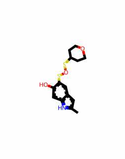 Cc1cc2cc(SOSC3CCOCC3)c(O)cc2[nH]1